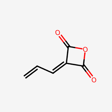 C=CC=C1C(=O)OC1=O